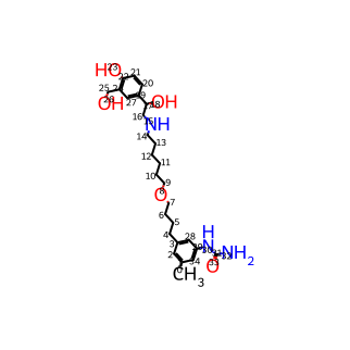 Cc1cc(CCCCOCCCCCCNCC(O)c2ccc(O)c(CO)c2)cc(NC(N)=O)c1